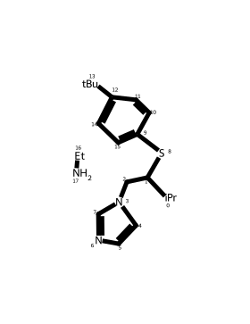 CC(C)C(Cn1ccnc1)Sc1ccc(C(C)(C)C)cc1.CCN